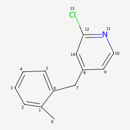 Cc1ccccc1Cc1ccnc(Cl)c1